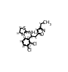 CCc1cc(CC(NC2=NCCS2)c2cccc(Cl)c2Cl)on1